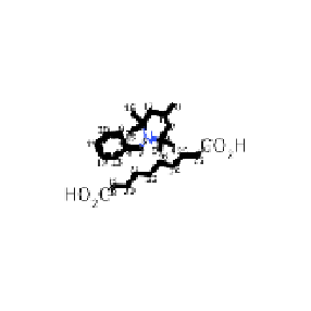 CC1CC(C)(C)N(Cc2ccccc2)C(C)(C)C1.O=C(O)CCCCCCCCC(=O)O